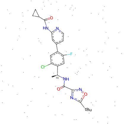 C[C@H](NC(=O)c1noc(C(C)(C)C)n1)c1cc(F)c(-c2ccnc(NC(=O)C3CC3)c2)cc1Cl